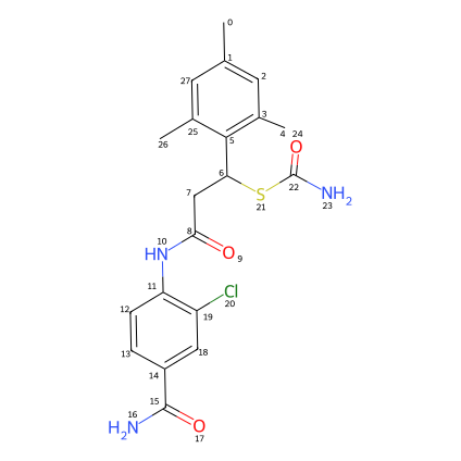 Cc1cc(C)c(C(CC(=O)Nc2ccc(C(N)=O)cc2Cl)SC(N)=O)c(C)c1